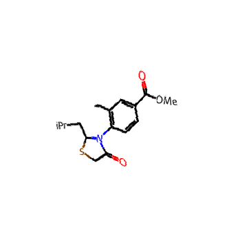 COC(=O)c1ccc(N2C(=O)CSC2CC(C)C)c(C)c1